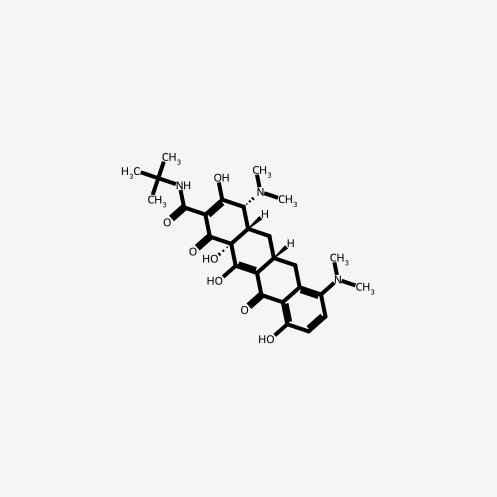 CN(C)c1ccc(O)c2c1C[C@H]1C[C@H]3[C@@H](N(C)C)C(O)=C(C(=O)NC(C)(C)C)C(=O)[C@]3(O)C(O)=C1C2=O